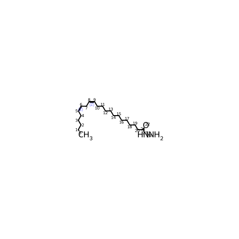 CCCCC/C=C\C/C=C\CCCCCCCCCCCC(=O)NN